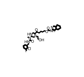 CN(C(=O)NCc1cccc(F)c1Cl)[C@H]1CN(CCO)C(C(=O)CCCCOC(=O)Nc2cc3ccccc3cn2)CN1